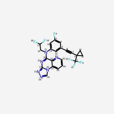 Fc1cc(C#CC2(C(F)(F)F)CC2)cc(N(CC(F)F)c2nc3nncn3c3cccnc23)c1